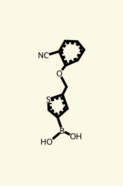 N#Cc1ccccc1OCc1cc(B(O)O)cs1